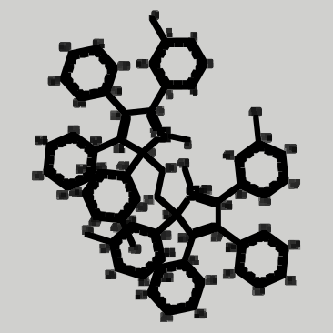 Cc1cccc(C2=[Si](C)C(CCC3(c4cccc(C)c4)C(c4ccccc4)=C(c4ccccc4)C(c4cccc(C)c4)=[Si]3C)(c3cccc(C)c3)C(c3ccccc3)=C2c2ccccc2)c1